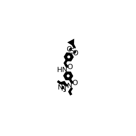 CCCN(C(=O)c1ccc(NC(=O)Cc2ccc(S(=O)(=O)CC3CC3)cc2)cc1)c1cc(C)nn1C